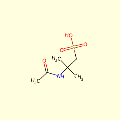 CC(=O)NC(C)(C)CS(=O)(=O)O